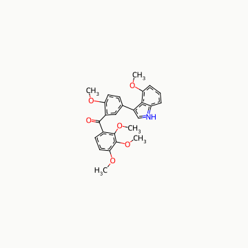 COc1ccc(-c2c[nH]c3cccc(OC)c23)cc1C(=O)c1ccc(OC)c(OC)c1OC